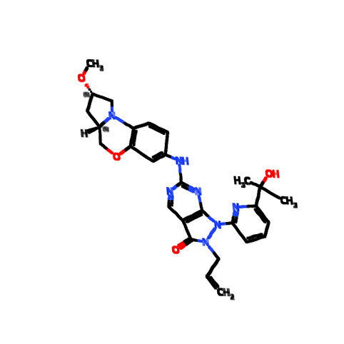 C=CCn1c(=O)c2cnc(Nc3ccc4c(c3)OC[C@@H]3C[C@H](OC)CN43)nc2n1-c1cccc(C(C)(C)O)n1